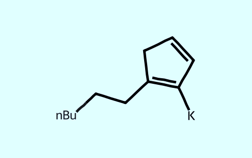 CCCCCCC1=[C]([K])C=CC1